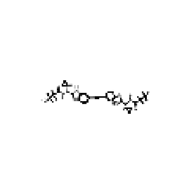 CC1([C@H](NC(=O)C(C)(C)C(C)(C)O)c2nc3ccc(C#Cc4ccc5nc([C@@H](NC(=O)C(C)(C)C(C)(C)O)C6(C)CC6)[nH]c5c4)cc3[nH]2)CC1